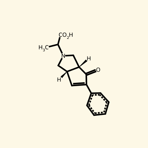 CC(C(=O)O)N1C[C@H]2C=C(c3ccccc3)C(=O)[C@H]2C1